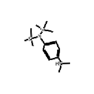 C[SiH](C)c1ccc(N([Si](C)(C)C)[Si](C)(C)C)cc1